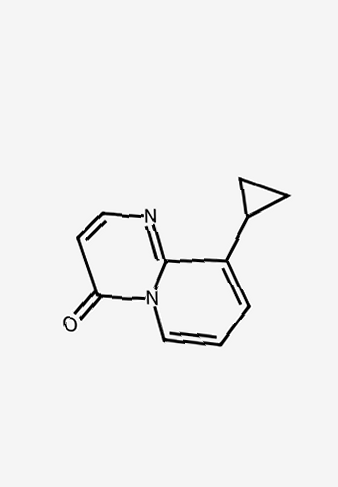 O=c1ccnc2c(C3CC3)cccn12